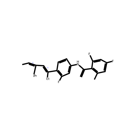 C=C(Nc1ccc(/C(=C/C(=C/C)C(C)C)CC)c(F)c1)c1c(C)cc(F)cc1F